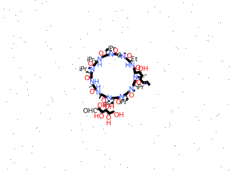 C/C=C/C[C@@H](C)[C@@H](O)[C@H]1C(=O)N[C@@H](CC)C(=O)N(C)CC(=O)N(C)[C@@H](CC(C)C)C(=O)N[C@@H](C(C)C)C(=O)N(C)[C@@H](CC(C)C)C(=O)N[C@@H](C)C(=O)N[C@H](C)C(=O)N(C)[C@@H](CC(C)C)C(=O)N(C)[C@@H](CC(C)C)C(=O)N(C)[C@@H](C(C)C)C(=O)N1C.O=C[C@H](O)[C@@H](O)[C@H](O)[C@H](O)CO